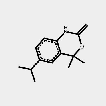 C=C1Nc2ccc(C(C)C)cc2C(C)(C)O1